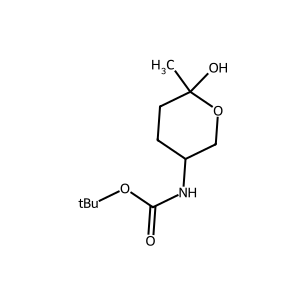 CC(C)(C)OC(=O)NC1CCC(C)(O)OC1